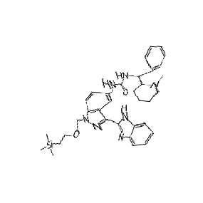 CN1CCCCC1C(NC(=O)Nc1ccc2c(c1)c(-c1nc3ccccc3[nH]1)nn2COCC[Si](C)(C)C)c1ccccc1